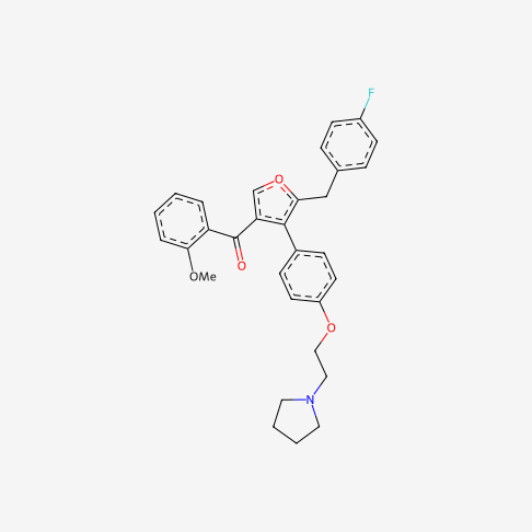 COc1ccccc1C(=O)c1coc(Cc2ccc(F)cc2)c1-c1ccc(OCCN2CCCC2)cc1